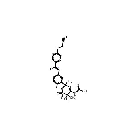 C#CCOc1cnc(/C(F)=C/c2ccc(F)c(C3(C)CS(=O)(=O)C(C)(C)C(NC(=O)O)=N3)c2)cn1